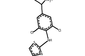 CC(C(=O)O)c1cc(Cl)c(Nc2nccs2)c(Cl)c1